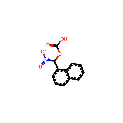 O=C(O)OC(c1cccc2ccccc12)[N+](=O)[O-]